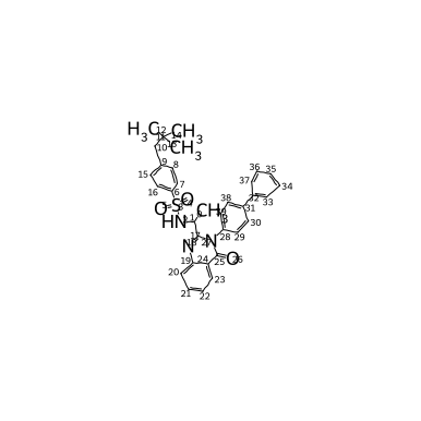 CC(NS(=O)(=O)c1ccc(CC(C)(C)C)cc1)c1nc2ccccc2c(=O)n1-c1ccc(-c2ccccc2)cc1